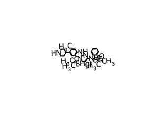 BC(C)(C)Oc1cc(C2CCNCC2)c(C)cc1Nc1ncc(Cl)c(Nc2ccccc2S(=O)(=O)C(C)C)n1